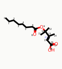 CCCCCCCC(=O)OC(C)(C)/C(C)=C/C(=O)O